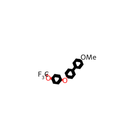 COc1ccc(-c2ccc(Oc3ccc(OC(F)(F)F)cc3)cc2)cc1